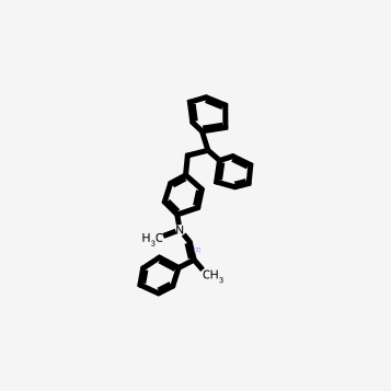 C/C(=C/N(C)c1ccc(CC(c2ccccc2)c2ccccc2)cc1)c1ccccc1